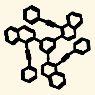 C(#Cc1c(-c2cc(-c3ccc4ccccc4c3C#Cc3ccccc3)cc(-c3ccc4ccccc4c3C#Cc3ccccc3)c2)ccc2ccccc12)c1ccccc1